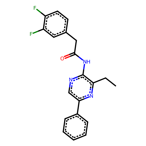 CCc1nc(-c2ccccc2)cnc1NC(=O)Cc1ccc(F)c(F)c1